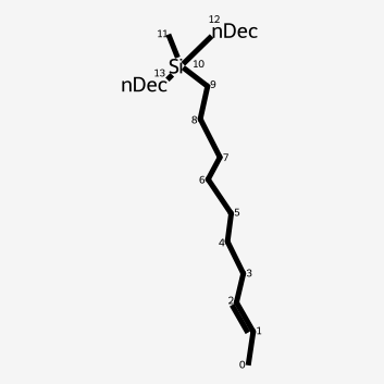 CC=CCCCCCCC[Si](C)(CCCCCCCCCC)CCCCCCCCCC